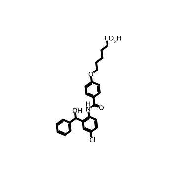 O=C(O)CCCCCOc1ccc(C(=O)Nc2ccc(Cl)cc2C(O)c2ccccc2)cc1